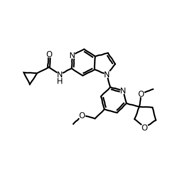 COCc1cc(-n2ccc3cnc(NC(=O)C4CC4)cc32)nc(C2(OC)CCOC2)c1